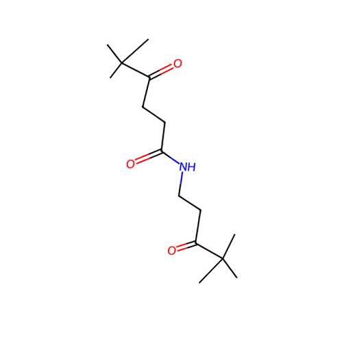 CC(C)(C)C(=O)CCNC(=O)CCC(=O)C(C)(C)C